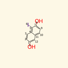 Oc1ccc2c(I)c(O)ccc2c1